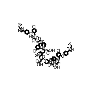 C[C@H](NCc1ccc(Cl)cc1Oc1ccc(-c2cnc(CN(C)C)n2C)cc1)C(=O)N[C@@H](CO)C(=O)N(C)[C@@]1(Cc2ccc(Cl)cc2)CCCN(C(=O)[C@@H](CC(=O)O)Cc2cc[n+]([O-])c(C[C@H](CC(=O)O)C(=O)N3CCC[C@](Cc4ccc(Cl)cc4)(N(C)C(=O)[C@H](CO)NC(=O)[C@H](C)NCc4ccc(Cl)cc4Oc4ccc(-c5cnc(CN(C)C)n5C)cc4)C3)c2)C1